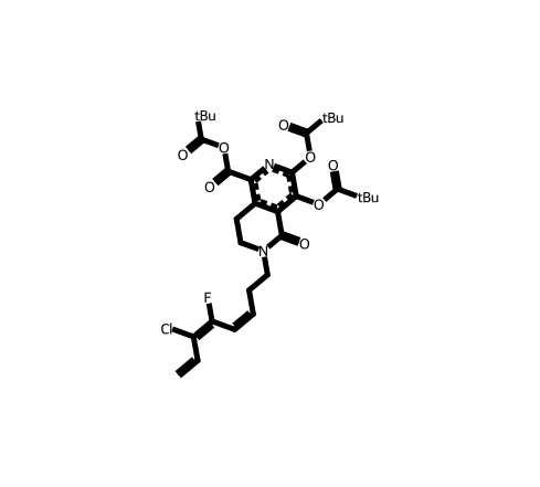 C=C/C(Cl)=C(F)\C=C/CCN1CCc2c(C(=O)OC(=O)C(C)(C)C)nc(OC(=O)C(C)(C)C)c(OC(=O)C(C)(C)C)c2C1=O